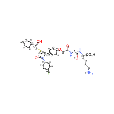 NCCCC[C@@H](NC(=O)CNC(=O)COc1ccc([C@@H]2[C@@H](SC[C@@H](O)c3ccc(F)cc3)C(=O)N2c2ccc(F)cc2)cc1)C(=O)O